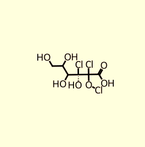 O=C(O)C(Cl)(OCl)[C@](O)(Cl)C(O)C(O)CO